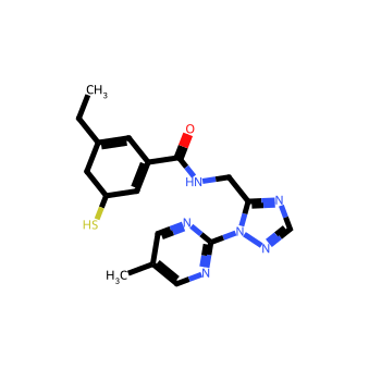 CCC1=CC(C(=O)NCc2ncnn2-c2ncc(C)cn2)=CC(S)C1